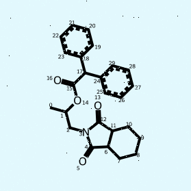 CC(CN1C(=O)C2CCCCC2C1=O)OC(=O)C(c1ccccc1)c1ccccc1